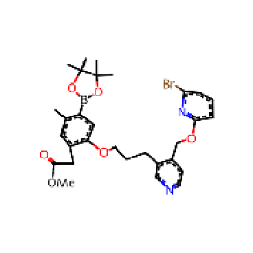 COC(=O)Cc1cc(C)c(B2OC(C)(C)C(C)(C)O2)cc1OCCCc1cnccc1COc1cccc(Br)n1